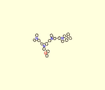 c1ccc(-n2c3ccccc3c3cc(-c4ccc5c(c4)c4cc(-c6ccc(-n7c8ccccc8c8cc(-c9ccc%10c(c9)c9ccccc9n%10-c9cccc%10c9-c9ccccc9C%109c%10ccccc%10-c%10ccccc%109)ccc87)cc6)ccc4n5-c4cccc(-c5cccc6c5oc5ccccc56)c4)ccc32)cc1